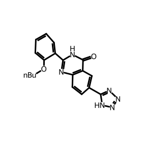 CCCCOc1ccccc1-c1nc2ccc(-c3nnn[nH]3)cc2c(=O)[nH]1